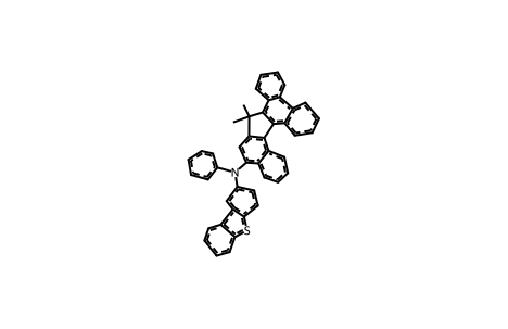 CC1(C)c2cc(N(c3ccccc3)c3ccc4sc5ccccc5c4c3)c3ccccc3c2-c2c1c1ccccc1c1ccccc21